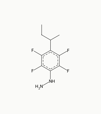 CCC(C)c1c(F)c(F)c(NN)c(F)c1F